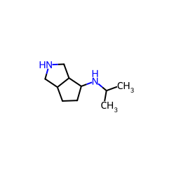 CC(C)NC1CCC2CNCC21